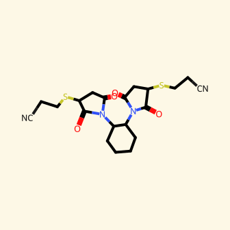 N#CCCSC1CC(=O)N(C2CCCCC2N2C(=O)CC(SCCC#N)C2=O)C1=O